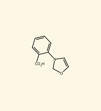 O=C(O)c1ccccc1N1C=COC1